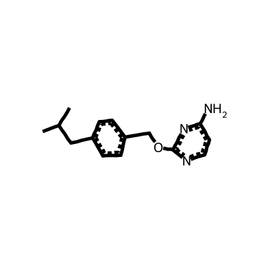 CC(C)Cc1ccc(COc2nccc(N)n2)cc1